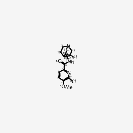 COc1ccc(C(=O)N[C@H]2CN3CCC2CC3)nc1Cl